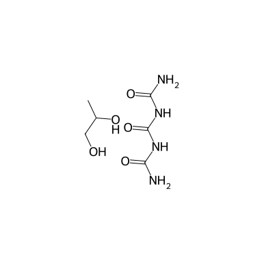 CC(O)CO.NC(=O)NC(=O)NC(N)=O